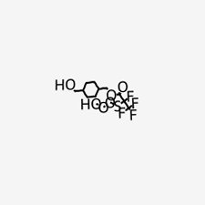 O=C(OCC1CCC(CO)CC1)C(F)(SOOO)C(F)(F)F